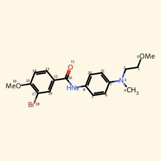 COCCN(C)c1ccc(NC(=O)c2ccc(OC)c(Br)c2)cc1